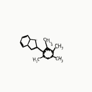 Cc1cc(C)c(C2[C]C3C=CC=CC3C2)c(C)c1C